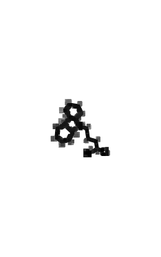 ClC(Br)CCCn1c2ccccc2c2ccccc21